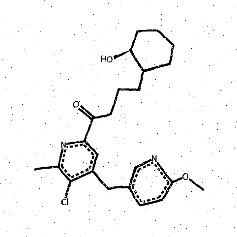 COc1ccc(Cc2cc(C(=O)CCCC3CCCC[C@@H]3O)nc(C)c2Cl)cn1